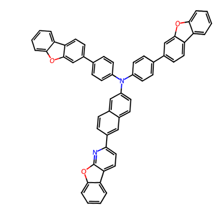 c1ccc2c(c1)oc1cc(-c3ccc(N(c4ccc(-c5ccc6c(c5)oc5ccccc56)cc4)c4ccc5cc(-c6ccc7c(n6)oc6ccccc67)ccc5c4)cc3)ccc12